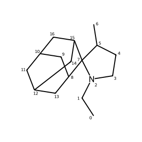 CCN1CCC(C)C12C1CC3CC(C1)CC2C3